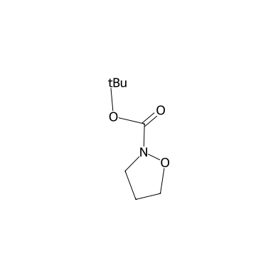 CC(C)(C)OC(=O)N1CCCO1